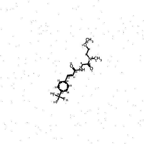 COCCN(C)C(=O)CNC(=O)C=Cc1ccc(C(F)(F)F)cc1